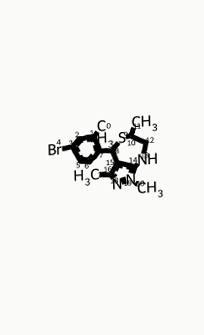 Cc1cc(Br)ccc1C1SC(C)CNc2c1c(C)nn2C